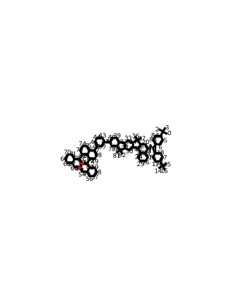 CC(C)(C)c1ccc(N(c2ccc(C(C)(C)C)cc2)c2cc3c(c4ccccc24)-c2cc4c(cc2C3(C)C)-c2ccc(-c3cccc(-c5ccc(-c6cccc7ccccc67)c6c(-c7cccc8ccccc78)cccc56)c3)cc2C4(C)C)cc1